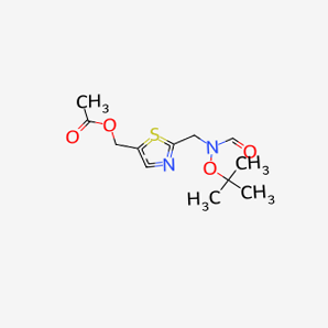 CC(=O)OCc1cnc(CN(C=O)OC(C)(C)C)s1